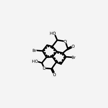 O=C1OC(O)c2c(Br)cc3c4c(c(Br)cc1c24)C(=O)OC3O